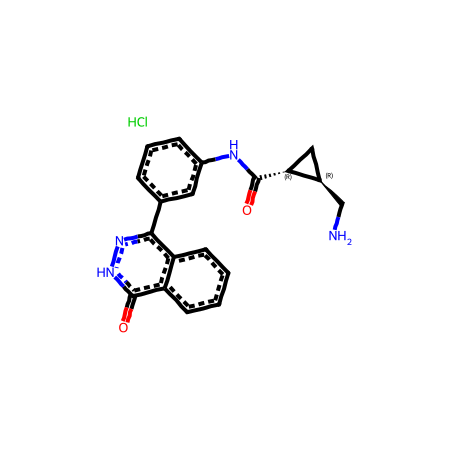 Cl.NC[C@@H]1C[C@H]1C(=O)Nc1cccc(-c2n[nH]c(=O)c3ccccc23)c1